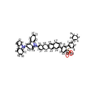 Cc1cccc(-c2ccc3c(c2)-c2cc(-c4ccc5cc6c(cc5c4)Cc4ccc(-n5c7ccccc7c7cc(-n8c9ccccc9c9ccccc98)ccc75)cc4C6)ccc2S3(=O)=O)c1